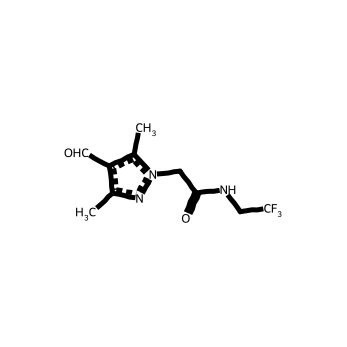 Cc1nn(CC(=O)NCC(F)(F)F)c(C)c1C=O